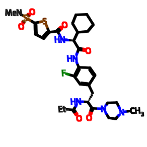 CCC(=O)N[C@H](Cc1ccc(NC(=O)[C@@H](NC(=O)c2ccc(S(=O)(=O)NC)s2)C2CCCCC2)c(F)c1)C(=O)N1CCN(C)CC1